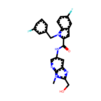 Cn1c(CO)nc2cc(NC(=O)c3cc4cc(F)ccc4n3Cc3cccc(F)c3)cnc21